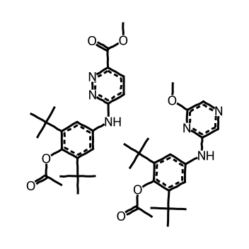 COC(=O)c1ccc(Nc2cc(C(C)(C)C)c(OC(C)=O)c(C(C)(C)C)c2)nn1.COc1cncc(Nc2cc(C(C)(C)C)c(OC(C)=O)c(C(C)(C)C)c2)n1